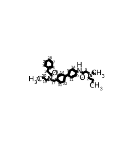 CCCN(C)CC(=O)Nc1ccc(-c2ccc(CN(CCC)C(=O)Cc3ccccc3)cc2)cc1